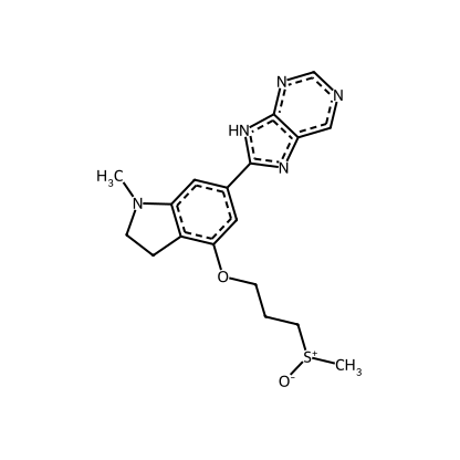 CN1CCc2c(OCCC[S+](C)[O-])cc(-c3nc4cncnc4[nH]3)cc21